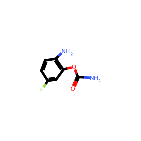 NC(=O)Oc1cc(F)ccc1N